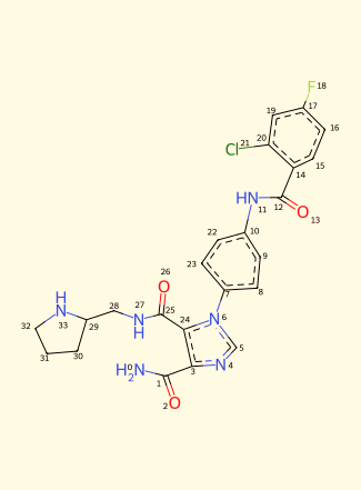 NC(=O)c1ncn(-c2ccc(NC(=O)c3ccc(F)cc3Cl)cc2)c1C(=O)NCC1CCCN1